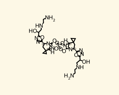 NCCNCC(O)c1nnc([C@@H]2CC3(CC3)[C@@H]3CN2C(=O)N3OS(=O)(=O)ON2C(=O)N3C[C@H]2C2(CC2)C[C@H]3c2nnc(C(O)CNCCN)o2)o1